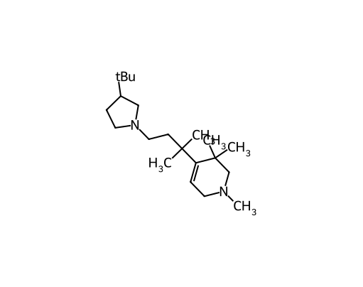 CN1CC=C(C(C)(C)CCN2CCC(C(C)(C)C)C2)C(C)(C)C1